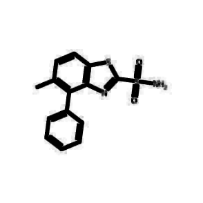 Cc1ccc2sc(S(N)(=O)=O)nc2c1-c1ccccc1